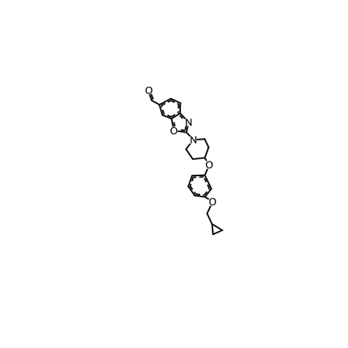 O=Cc1ccc2nc(N3CCC(Oc4cccc(OCC5CC5)c4)CC3)oc2c1